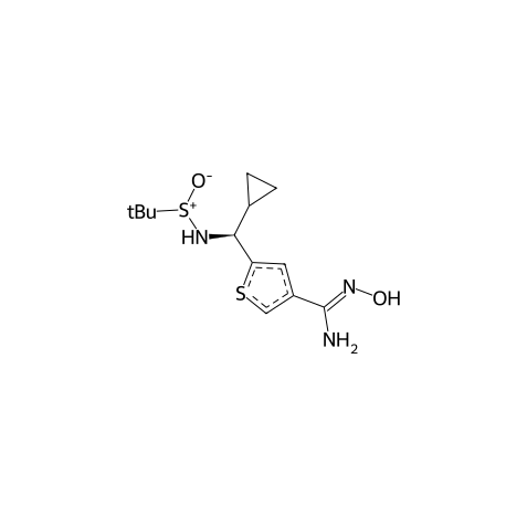 CC(C)(C)[S+]([O-])N[C@H](c1cc(C(N)=NO)cs1)C1CC1